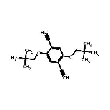 C#Cc1cc(OCC(C)(C)C)c(C#C)cc1OCC(C)(C)C